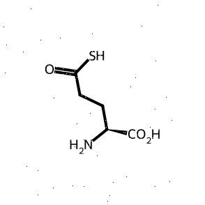 N[C@@H](CCC(=O)S)C(=O)O